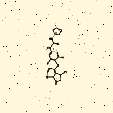 O=C(Nc1cc(F)c(Oc2ccnc3[nH]cc(Cl)c23)c(F)c1)N[C@@H]1CCOC1